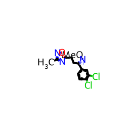 CO/N=C(\CCc1nc(C)no1)c1ccc(Cl)c(Cl)c1